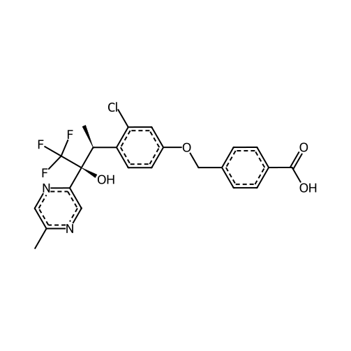 Cc1cnc([C@@](O)([C@@H](C)c2ccc(OCc3ccc(C(=O)O)cc3)cc2Cl)C(F)(F)F)cn1